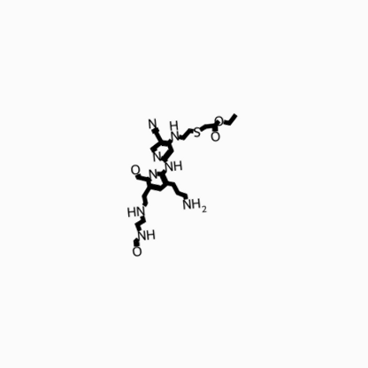 CCOC(=O)CSCCNc1cc(Nc2nc(C=O)c(CCNCCNC=O)cc2CCCN)ncc1C#N